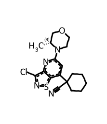 C[C@@H]1COCCN1c1cc(C2(C#N)CCCCC2)c2snc(Cl)c2n1